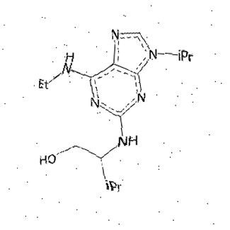 CCNc1nc(NC(CO)C(C)C)nc2c1ncn2C(C)C